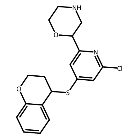 Clc1cc(SC2CCOc3ccccc32)cc(C2CNCCO2)n1